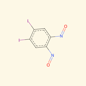 O=Nc1cc(I)c(I)cc1N=O